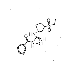 CCS(=O)(=O)C1CCN(NC(=N)NC(=O)c2ccccc2)C1.Cl